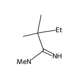 CCC(C)(C)C(=N)NC